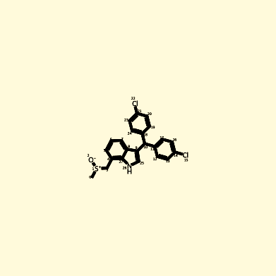 C[S+]([O-])Cc1cccc2c(C(c3ccc(Cl)cc3)c3ccc(Cl)cc3)c[nH]c12